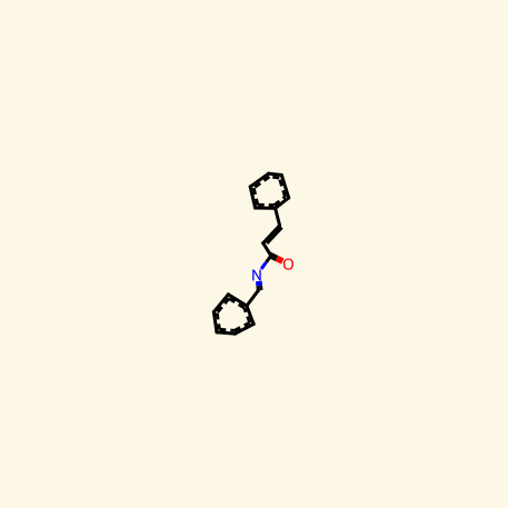 O=C(C=Cc1ccccc1)N=Cc1ccccc1